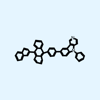 c1ccc(-n2c3ccncc3c3cc(-c4ccc(-c5c6ccccc6c(-c6ccc7ccccc7c6)c6ccccc56)cc4)ccc32)cc1